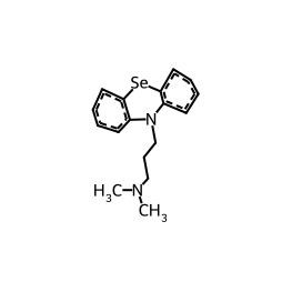 CN(C)CCCN1c2ccccc2[Se]c2ccccc21